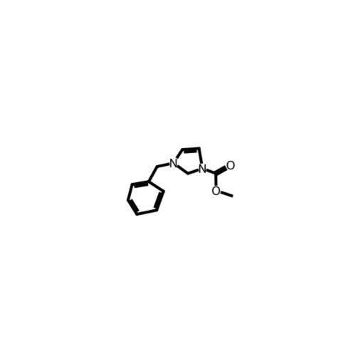 COC(=O)N1C=CN(Cc2ccccc2)C1